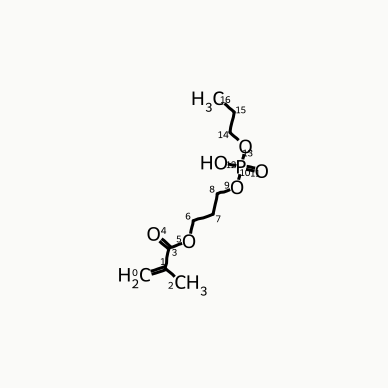 C=C(C)C(=O)OCCCOP(=O)(O)OCCC